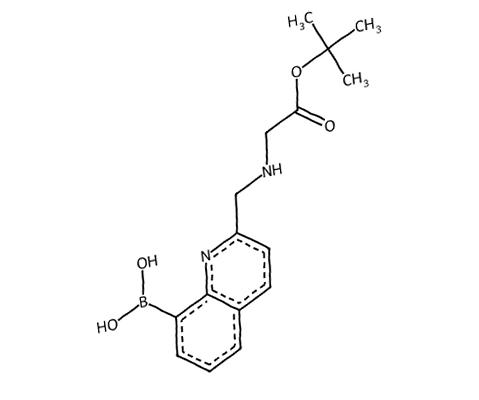 CC(C)(C)OC(=O)CNCc1ccc2cccc(B(O)O)c2n1